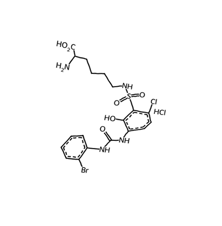 Cl.NC(CCCCNS(=O)(=O)c1c(Cl)ccc(NC(=O)Nc2ccccc2Br)c1O)C(=O)O